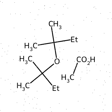 CC(=O)O.CCC(C)(C)OC(C)(C)CC